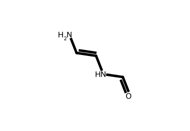 NC=CNC=O